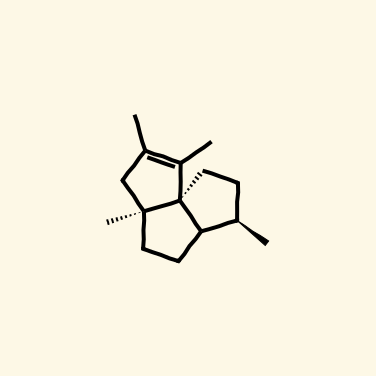 CC1=C(C)[C@@]23CC[C@@H](C)C2CC[C@@]3(C)C1